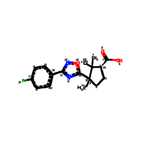 CC1(C)[C@H](C(=O)O)CC[C@]1(C)c1nc(-c2ccc(F)cc2)no1